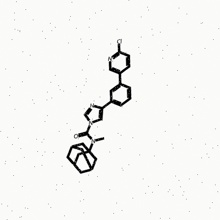 CN(C(=O)n1cnc(-c2cccc(-c3ccc(Cl)nc3)c2)c1)C12CC3CC(CC(C3)C1)C2